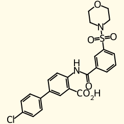 O=C(Nc1ccc(-c2ccc(Cl)cc2)cc1C(=O)O)c1cccc(S(=O)(=O)N2CCOCC2)c1